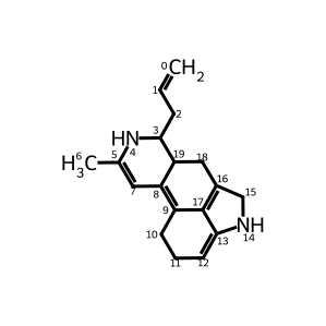 C=CCC1NC(C)=CC2=C3CCC=C4NCC(=C43)CC21